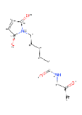 CC(C)C(=O)CNC(=O)CCCCCN1C(=O)C=CC1=O